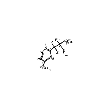 Nc1ncnc(C(F)(F)C(F)(F)C(F)(F)F)n1